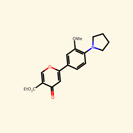 CCOC(=O)c1coc(-c2ccc(N3CCCC3)c(OC)c2)cc1=O